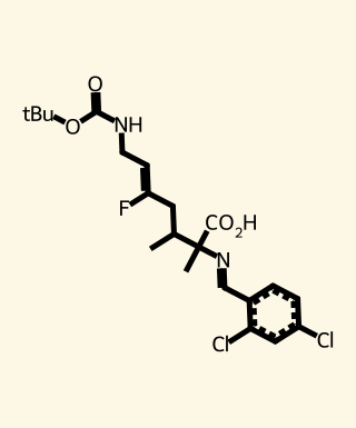 CC(CC(F)=CCNC(=O)OC(C)(C)C)C(C)(N=Cc1ccc(Cl)cc1Cl)C(=O)O